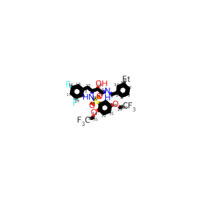 CCc1cccc(CNCC(O)C(Cc2cc(F)cc(F)c2)NS(=O)(=O)c2cc(OCC(F)(F)F)ccc2OCC(F)(F)F)c1